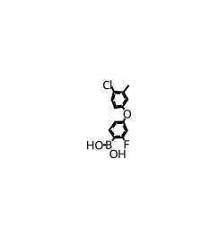 Cc1cc(Oc2ccc(B(O)O)c(F)c2)ccc1Cl